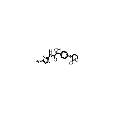 CC(C)c1cnc(NC(=O)[C@H](C)c2ccc(N3CCOC3=O)cc2)s1